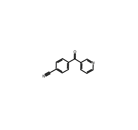 N#Cc1ccc(C(=O)c2cccnc2)cc1